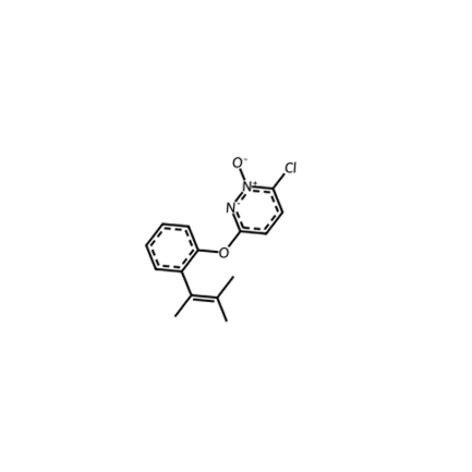 CC(C)=C(C)c1ccccc1Oc1ccc(Cl)[n+]([O-])n1